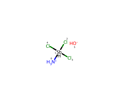 [NH3+][SbH]([Cl])([Cl])[Cl].[OH-]